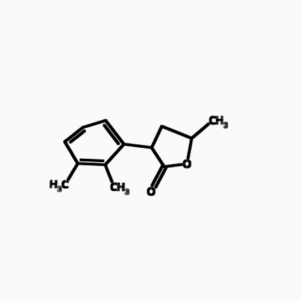 Cc1cccc(C2CC(C)OC2=O)c1C